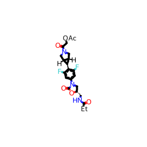 CCC(=O)NC[C@H]1CN(c2cc(F)c([C@H]3[C@@H]4CN(C(=O)COC(C)=O)C[C@@H]43)c(F)c2)C(=O)O1